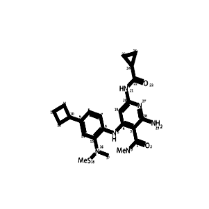 CNC(=O)c1c(Nc2ccc(C3CCC3)cc2N(C)SC)cc(NC(=O)C2CC2)nc1N